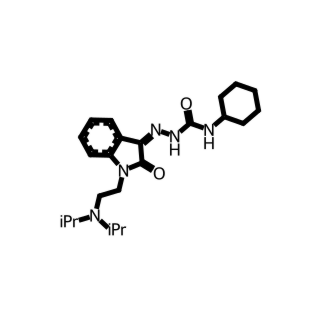 CC(C)N(CCN1C(=O)C(=NNC(=O)NC2CCCCC2)c2ccccc21)C(C)C